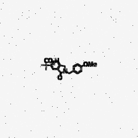 COc1ccc(CN2Cc3ccc(C(C)(C)C(=O)O)cc3C2=O)cc1